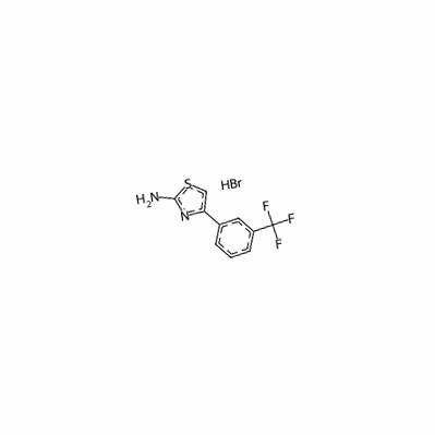 Br.Nc1nc(-c2cccc(C(F)(F)F)c2)cs1